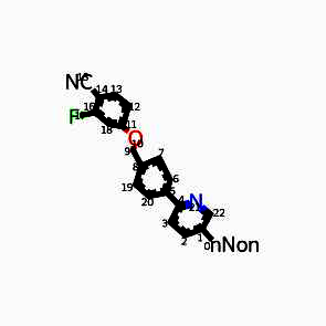 CCCCCCCCCc1ccc(-c2ccc(COc3ccc(C#N)c(F)c3)cc2)nc1